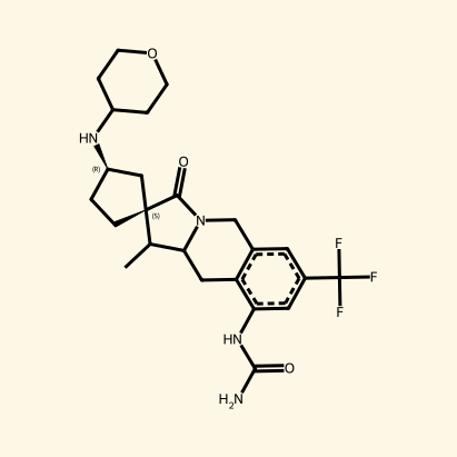 CC1C2Cc3c(cc(C(F)(F)F)cc3NC(N)=O)CN2C(=O)[C@]12CC[C@@H](NC1CCOCC1)C2